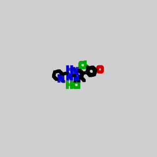 COc1ccc(-c2cnc(NCC3CCCCN3C)nc2C)c(Cl)c1.Cl